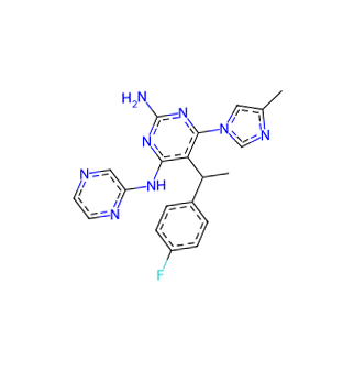 Cc1cn(-c2nc(N)nc(Nc3cnccn3)c2C(C)c2ccc(F)cc2)cn1